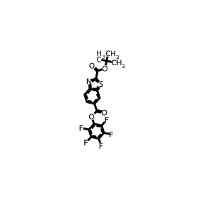 CC(C)(C)OC(=O)c1nc2ccc(C(=O)Oc3c(F)c(F)c(F)c(F)c3F)cc2s1